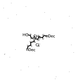 CCCCCCCCCCCCCC[N+](C)(CCO)CCCCCCCCCCCCCC.[Cl-]